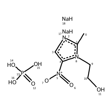 Cc1ncc([N+](=O)[O-])n1CCO.O=P(O)(O)O.[NaH].[NaH]